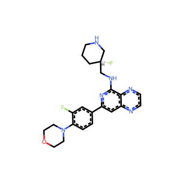 Fc1cc(-c2cc3nccnc3c(NC[C@@]3(F)CCCNC3)n2)ccc1N1CCOCC1